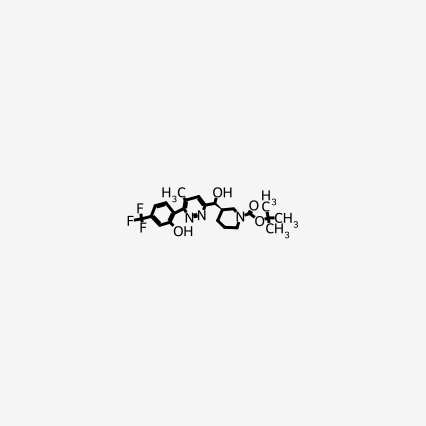 Cc1cc(C(O)[C@@H]2CCCN(C(=O)OC(C)(C)C)C2)nnc1-c1ccc(C(F)(F)F)cc1O